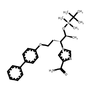 C[C@H](O[Si](C)(C)C(C)(C)C)[C@@H](CCOc1ccc(-c2ccccc2)cc1)n1cnc(C(N)=O)c1